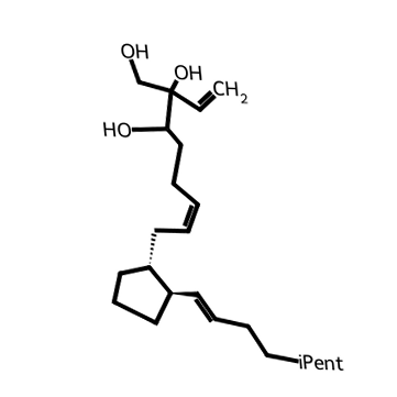 C=CC(O)(CO)C(O)CC/C=C\C[C@H]1CCC[C@@H]1/C=C/CCC(C)CCC